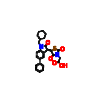 O=C(O)CN1C(=O)S/C(=C2\C(=O)N(CC3CCCCC3)c3ccc(-c4ccccc4)cc32)C1=O